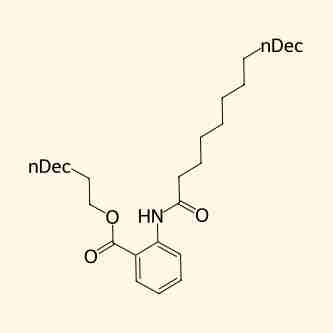 CCCCCCCCCCCCCCCCCC(=O)Nc1ccccc1C(=O)OCCCCCCCCCCCC